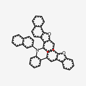 c1ccc(N(c2ccc3ccccc3c2)c2cccc3oc4c5ccccc5ccc4c23)c(-c2ccc3oc4ccccc4c3c2)c1